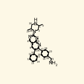 CC1CN(c2ncc3cc(-c4ccccc4)c(-c4ccc(CN)cc4)nc3n2)C(C)CN1